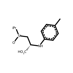 Cc1ccc(N[C@@H](C[S+]([O-])C(C)C)C(=O)O)cc1